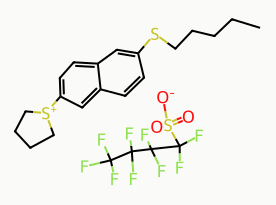 CCCCCSc1ccc2cc([S+]3CCCC3)ccc2c1.O=S(=O)([O-])C(F)(F)C(F)(F)C(F)(F)C(F)(F)F